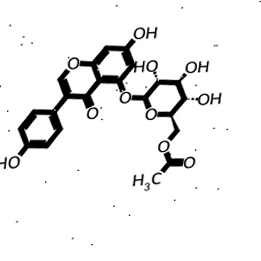 CC(=O)OC[C@H]1OC(Oc2cc(O)cc3occ(-c4ccc(O)cc4)c(=O)c23)[C@H](O)[C@@H](O)[C@@H]1O